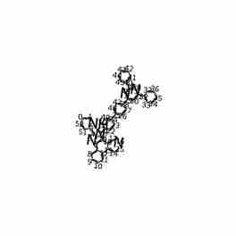 C1=CNC(c2nc3c4ccccc4c4ccncc4c3n2-c2ccc(-c3ccc(-c4cc(-c5ccccc5)nc(-c5ccccc5)n4)cc3)cc2)C=C1